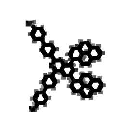 N#Cc1ccc(-c2ccc(-c3nc(-c4ccc(-c5ccc(C#N)cc5)cc4)c4cc(-c5ccc6ccc7cccc8ccc5c6c78)cc(-c5ccc6ccc7cccc8ccc5c6c78)c4n3)cc2)cc1